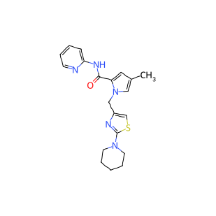 Cc1cc(C(=O)Nc2ccccn2)n(Cc2csc(N3CCCCC3)n2)c1